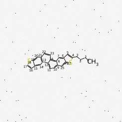 CCCCc1cc2cc3c(ccc4c5cc6ccsc6cc5ccc34)cc2s1